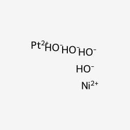 [Ni+2].[OH-].[OH-].[OH-].[OH-].[Pt+2]